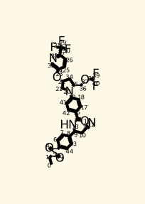 CCS(=O)(=O)c1ccc(C(CC#N)NC(=O)c2ccc(N3C[C@H](Oc4ccc(C(F)(F)F)nc4)C[C@H]3COC(F)F)cc2)cc1